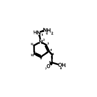 NNN1C=C(CC(=O)O)C=CC1